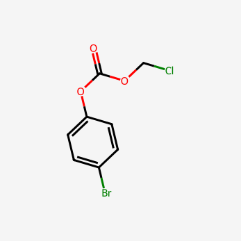 O=C(OCCl)Oc1ccc(Br)cc1